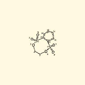 O=S1(=O)OCCOS(=O)(=O)c2ccccc21